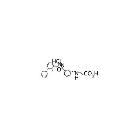 Cc1c(-c2ccccc2)cccc1-c1nnc(-c2cccc(CNCCC(=O)O)c2)o1.Cl